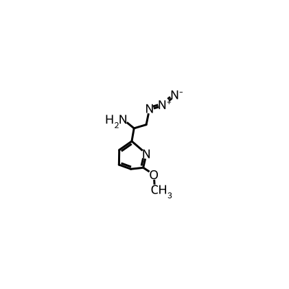 COc1cccc(C(N)CN=[N+]=[N-])n1